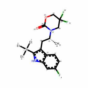 CC[Si](CC)(CC)c1[nH]c2cc(F)ccc2c1C[C@@H](C)N1CC(F)(F)COC1=O